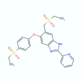 CCS(=O)(=O)Cc1cc2[nH]c(-c3ccccn3)nc2cc1Oc1ccc(S(=O)(=O)CC)cc1